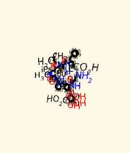 C=C(C)COC(CC(C(C)C)N(C)C(=O)C(NC(=O)[C@H]1CCCC[N+]1(C)Cc1ccc(O[C@@H]2O[C@H](C(=O)O)[C@@H](O)[C@H](O)[C@H]2O)c(NC(=O)CCN)c1)C(C)CC)c1nc(C(=O)NC(Cc2ccccc2)CC(C)C(=O)O)cs1